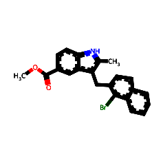 COC(=O)c1ccc2[nH]c(C)c(Cc3ccc4ccccc4c3Br)c2c1